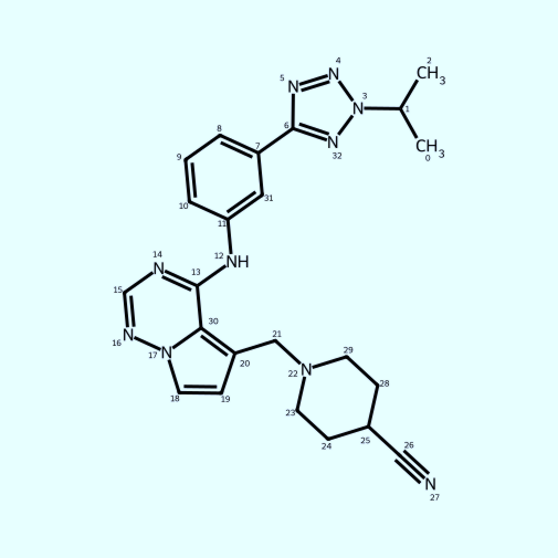 CC(C)n1nnc(-c2cccc(Nc3ncnn4ccc(CN5CCC(C#N)CC5)c34)c2)n1